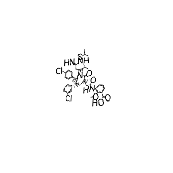 COc1c(NC(=O)C[C@@]2(C)C[C@H](c3cccc(Cl)c3)[C@@H](c3ccc(Cl)cc3)N([C@@H](CC(=N)NSC(C)C)C(C)C)C2=O)cccc1C(=O)O